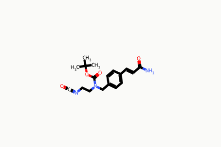 CC(C)(C)OC(=O)N(CCN=C=O)Cc1ccc(/C=C/C(N)=O)cc1